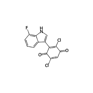 O=C1C=C(Cl)C(=O)C(c2c[nH]c3c(F)cccc23)=C1Cl